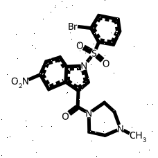 CN1CCN(C(=O)c2cn(S(=O)(=O)c3ccccc3Br)c3ccc([N+](=O)[O-])cc23)CC1